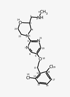 CNCC1CN(c2ncc(OCc3c(Cl)cccc3Cl)cn2)CCO1